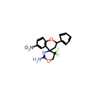 NC1=NC2(CC(c3ccccc3)Oc3ccc([N+](=O)[O-])cc32)C(F)(F)CO1